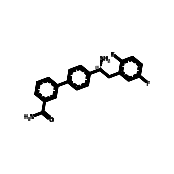 NC(=O)c1cccc(-c2ccc([C@H](N)Cc3cc(F)ccc3F)cc2)c1